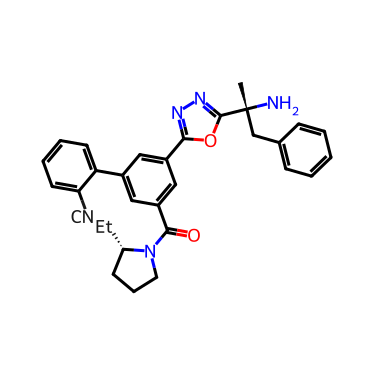 CC[C@H]1CCCN1C(=O)c1cc(-c2nnc([C@](C)(N)Cc3ccccc3)o2)cc(-c2ccccc2C#N)c1